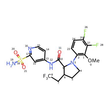 COc1c(N2CCC(CC(F)(F)F)C2C(=O)Nc2ccnc(S(N)(=O)=O)c2)ccc(F)c1F